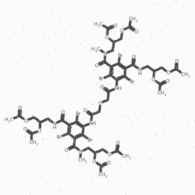 CC(=O)OCC(CNC(=O)c1c(Br)c(NC(=O)COCC(=O)Nc2c(Br)c(C(=O)NCC(COC(C)=O)OC(C)=O)c(Br)c(C(=O)N(C)CC(COC(C)=O)OC(C)=O)c2Br)c(Br)c(C(=O)N(C)CC(COC(C)=O)OC(C)=O)c1Br)OC(C)=O